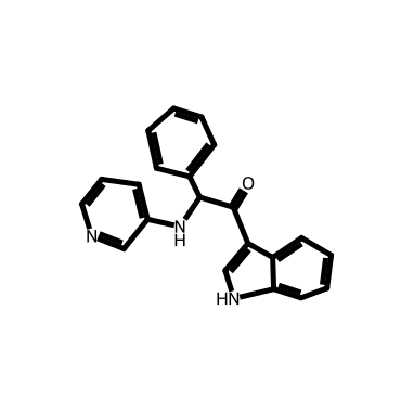 O=C(c1c[nH]c2ccccc12)C(Nc1cccnc1)c1ccccc1